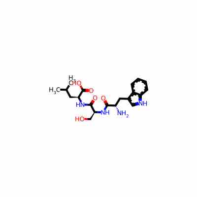 CC(C)C[C@H](NC(=O)[C@H](CO)NC(=O)[C@@H](N)Cc1c[nH]c2ccccc12)C(=O)O